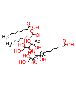 CC(=O)[C@H](O)[C@@H](O)[C@H](O)[C@H](O)CO.CC(=O)[C@H](O)[C@@H](O)[C@H](O)[C@H](O)CO.CCCCCCCC(=O)O.CCCCCCCC(=O)O.CCCCCCCC(=O)O